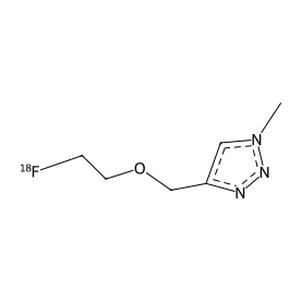 Cn1cc(COCC[18F])nn1